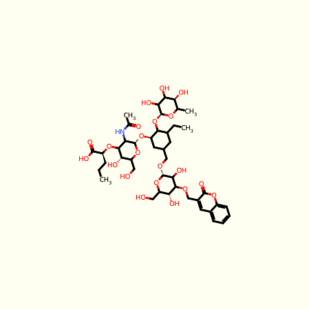 CCC[C@H](OC1C(NC(C)=O)[C@H](O[C@@H]2CC(CO[C@H]3OC(CO)[C@@H](O)C(OCc4cc5ccccc5oc4=O)C3O)CC(CC)C2O[C@@H]2OC(C)[C@H](O)C(O)C2O)OC(CO)[C@@H]1O)C(=O)O